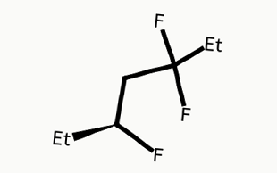 [CH2]CC(F)(F)C[C@@H](F)CC